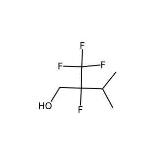 CC(C)C(F)(CO)C(F)(F)F